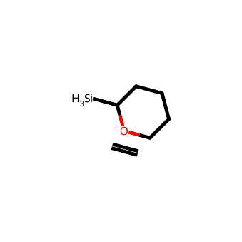 C=C.[SiH3]C1CCCCO1